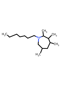 CCCCCCCN1CC(C)CC(C)C(C)C1C